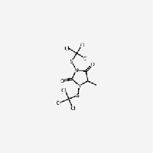 CC1C(=O)N(SC(Cl)(Cl)Cl)C(=O)N1SC(Cl)(Cl)Cl